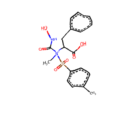 Cc1ccc(S(=O)(=O)[N+](C)(C(=O)NO)C(Cc2ccccc2)C(=O)O)cc1